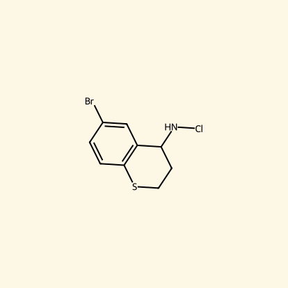 ClNC1CCSc2ccc(Br)cc21